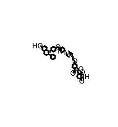 O=C1CCC(N2C(=O)c3ccc(OCCN4CCN(c5ccc(Oc6ccc([C@@H]7c8ccc(O)cc8CCC7c7ccccc7)cc6)nc5)CC4)cc3C2=O)C(=O)N1